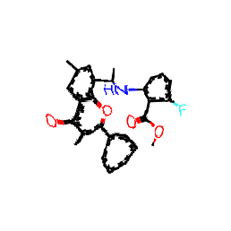 COC(=O)c1c(F)cccc1NC(C)c1cc(C)cc2c(=O)c(C)c(-c3ccccc3)oc12